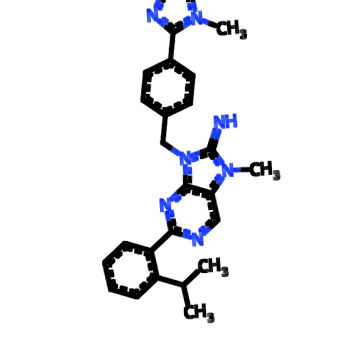 CC(C)c1ccccc1-c1ncc2c(n1)n(Cc1ccc(-c3nccn3C)cc1)c(=N)n2C